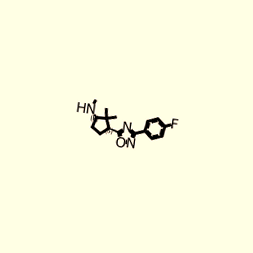 CN[C@@H]1CC[C@H](c2nc(-c3ccc(F)cc3)no2)C1(C)C